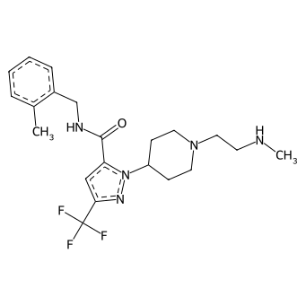 CNCCN1CCC(n2nc(C(F)(F)F)cc2C(=O)NCc2ccccc2C)CC1